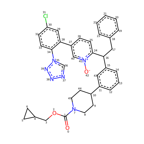 O=C(OCC1CC1)N1CCC(c2cccc(C(Cc3ccccc3)c3ccc(-c4cc(Cl)ccc4-n4cnnn4)c[n+]3[O-])c2)CC1